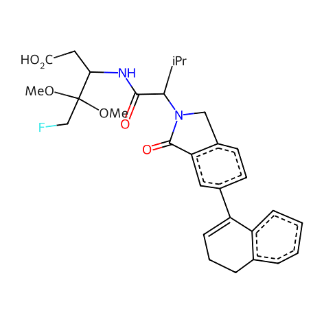 COC(CF)(OC)C(CC(=O)O)NC(=O)C(C(C)C)N1Cc2ccc(C3=CCCc4ccccc43)cc2C1=O